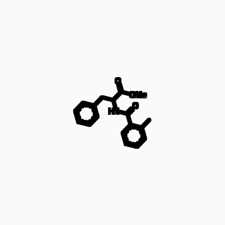 COC(=O)C(Cc1ccccc1)NC(=O)c1ccccc1C